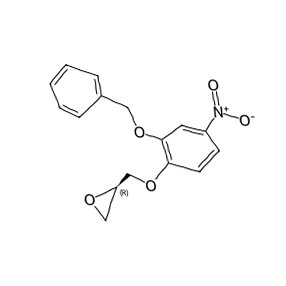 O=[N+]([O-])c1ccc(OC[C@H]2CO2)c(OCc2ccccc2)c1